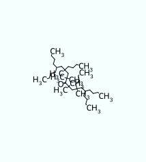 CCCCC(CCCC)CC(C)(CCCC)CC(C)(C)C(=O)C(C)(C)CC(C)(CCCC)CC(CCCC)CCCC